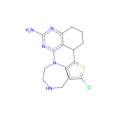 Nc1nc2c(c(N3CCCNCC3)n1)C(c1ccc(Cl)s1)CCC2